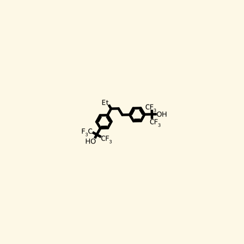 CCC(CCc1ccc(C(O)(C(F)(F)F)C(F)(F)F)cc1)c1ccc(C(O)(C(F)(F)F)C(F)(F)F)cc1